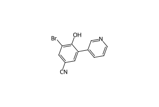 N#Cc1cc(Br)c(O)c(-c2cccnc2)c1